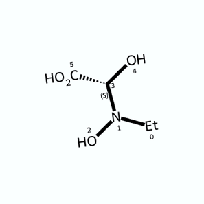 CCN(O)[C@@H](O)C(=O)O